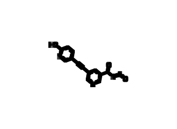 O=S=NC(=O)c1cncc(C#Cc2ccc(O)nc2)c1